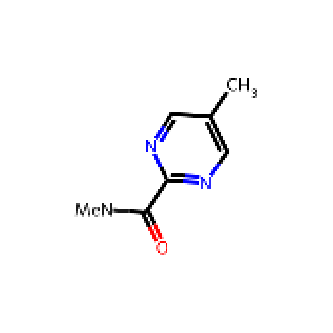 CNC(=O)c1ncc(C)cn1